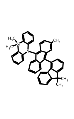 Cc1ccc2c(N3c4ccccc4[Si](C)(C)c4ccccc43)c3ccccc3c(-c3cccc4c3-c3ccccc3C4(C)C)c2c1